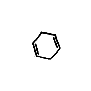 [C]1=CCC=CC1